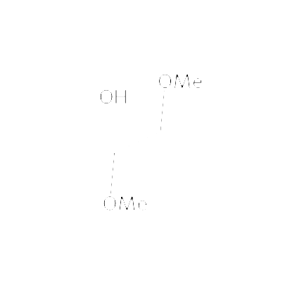 CO.COCCOC